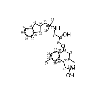 CCC[C@@H](OC[C@H](O)CNC(C)(C)CC1Cc2ccccc2C1)c1ccc(C)cc1CCC(=O)O